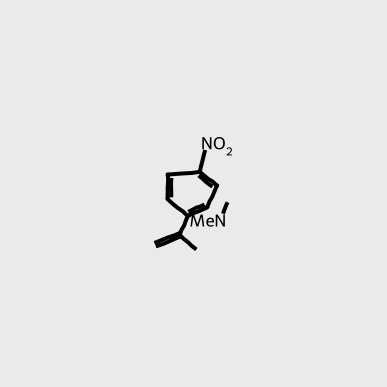 C=C(C)c1ccc([N+](=O)[O-])cc1.CNC